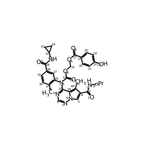 CCCNC(=O)c1cn2ncnc(N(C(=O)OCOC(=O)c3ccc(O)cc3)c3cc(C(=O)NC4CC4)ccc3C)c2c1C